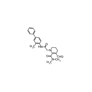 Cc1cc(-c2ccccc2)ccc1NC(=O)CN1CCCC(C=O)=C1C(=O)N(C)C